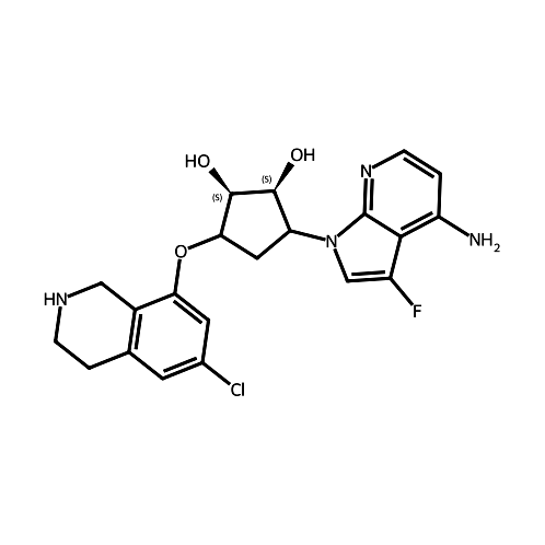 Nc1ccnc2c1c(F)cn2C1CC(Oc2cc(Cl)cc3c2CNCC3)[C@@H](O)[C@H]1O